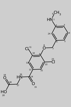 CNc1cccc(COc2c(Cl)cc(C(=O)NCC(=O)O)cc2Cl)c1